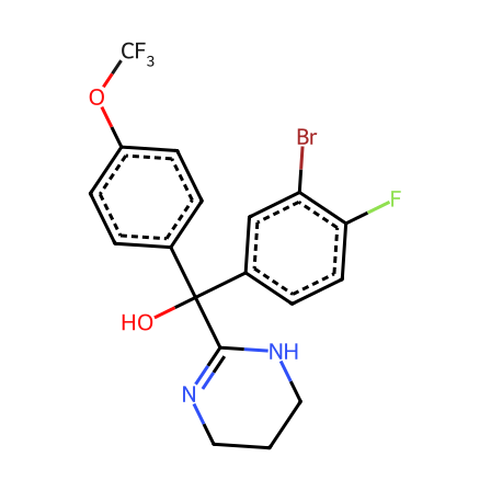 OC(C1=NCCCN1)(c1ccc(OC(F)(F)F)cc1)c1ccc(F)c(Br)c1